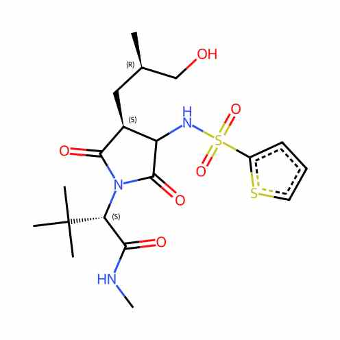 CNC(=O)[C@@H](N1C(=O)C(NS(=O)(=O)c2cccs2)[C@H](C[C@@H](C)CO)C1=O)C(C)(C)C